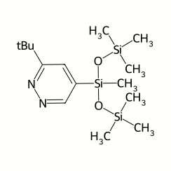 CC(C)(C)c1cc([Si](C)(O[Si](C)(C)C)O[Si](C)(C)C)cnn1